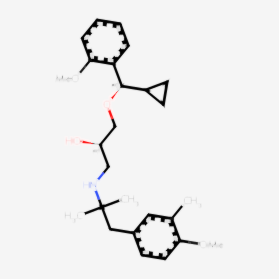 COc1ccc(CC(C)(C)NC[C@@H](O)CO[C@@H](c2ccccc2OC)C2CC2)cc1C